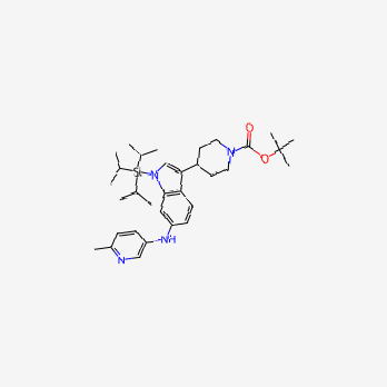 Cc1ccc(Nc2ccc3c(C4CCN(C(=O)OC(C)(C)C)CC4)cn([Si](C(C)C)(C(C)C)C(C)C)c3c2)cn1